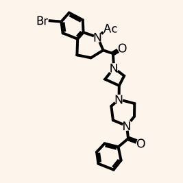 CC(=O)N1c2ccc(Br)cc2CCC1C(=O)N1CC(N2CCN(C(=O)c3ccccc3)CC2)C1